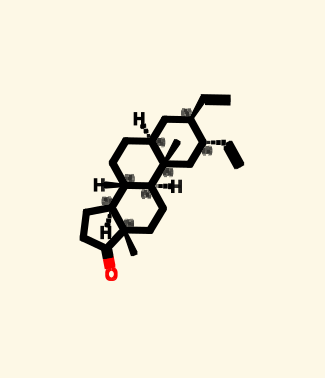 C=C[C@@H]1C[C@@H]2CC[C@@H]3[C@H](CC[C@]4(C)C(=O)CC[C@@H]34)[C@@]2(C)C[C@H]1C=C